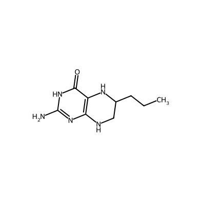 CCCC1CNc2nc(N)[nH]c(=O)c2N1